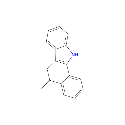 CC1Cc2c([nH]c3ccccc23)-c2ccccc21